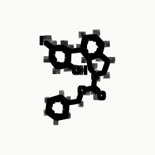 O=C(OCc1ccccc1)N1CCc2cccc(-c3cc(F)ccc3O)c2C1